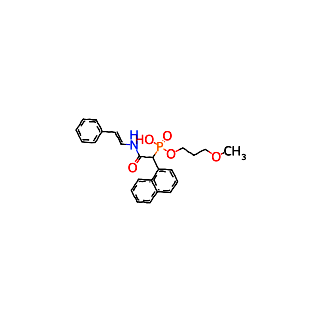 COCCCOP(=O)(O)C(C(=O)N/C=C/c1ccccc1)c1cccc2ccccc12